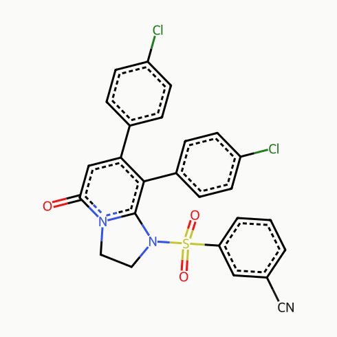 N#Cc1cccc(S(=O)(=O)N2CCn3c2c(-c2ccc(Cl)cc2)c(-c2ccc(Cl)cc2)cc3=O)c1